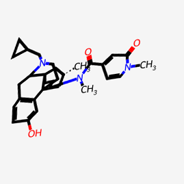 C[C@H]1CC23CCC(N(C)C(=O)c4ccn(C)c(=O)c4)C1C21CCN(CC2CC2)C3Cc2ccc(O)cc21